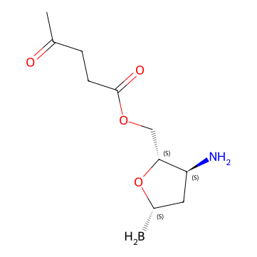 B[C@H]1C[C@H](N)[C@@H](COC(=O)CCC(C)=O)O1